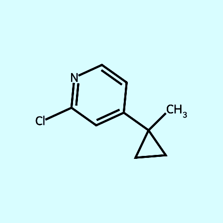 CC1(c2ccnc(Cl)c2)CC1